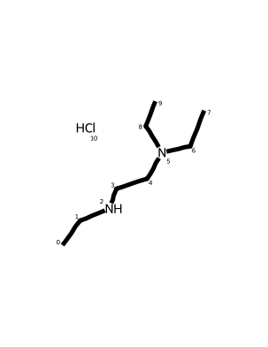 CCNCCN(CC)CC.Cl